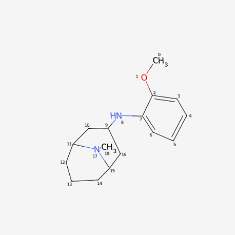 COc1ccccc1NC1CC2CCCC(C1)N2C